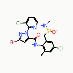 CN[S+]([O-])Cc1cc(Cl)cc(C)c1NC(=O)c1cc(Br)nn1-c1ncccc1Cl